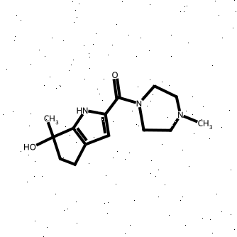 CN1CCN(C(=O)c2cc3c([nH]2)C(C)(O)CC3)CC1